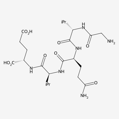 CC(C)[C@H](NC(=O)CN)C(=O)N[C@@H](CCC(N)=O)C(=O)N[C@H](C(=O)N[C@@H](CCC(=O)O)C(=O)O)C(C)C